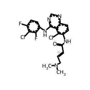 CN(C)C/C=C/C(=O)Nc1ccc2ncnc(Nc3ccc(F)c(Cl)c3F)c2c1Cl